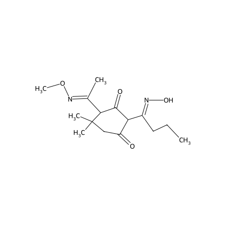 CCCC(=NO)C1C(=O)CC(C)(C)C(C(C)=NOC)C1=O